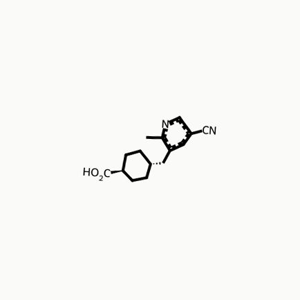 Cc1ncc(C#N)cc1C[C@H]1CC[C@H](C(=O)O)CC1